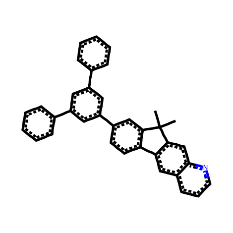 CC1(C)c2cc(-c3cc(-c4ccccc4)cc(-c4ccccc4)c3)ccc2-c2cc3cccnc3cc21